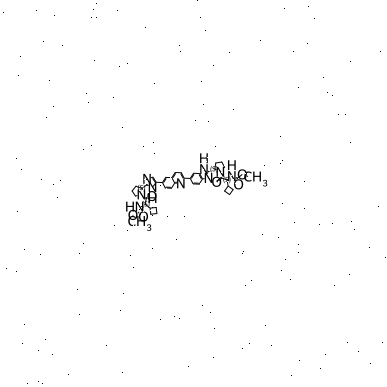 COC(=O)N[C@H](C(=O)N1CCC[C@H]1c1ncc(-c2ccc3nc(-c4ccc5nc([C@@H]6CCCN6C(=O)[C@@H](NC(=O)OC)C6CCC6)[nH]c5c4)ccc3c2)[nH]1)C1CCC1